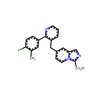 CCOC(=O)c1ncc2cc(Cc3cccnc3-c3ccc(F)c(C)c3)ccn12